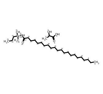 CC(O)C(=O)O.CCCCCCCCCCCCCCCCCCCCCC(=O)N[N+](C)(C)CCC